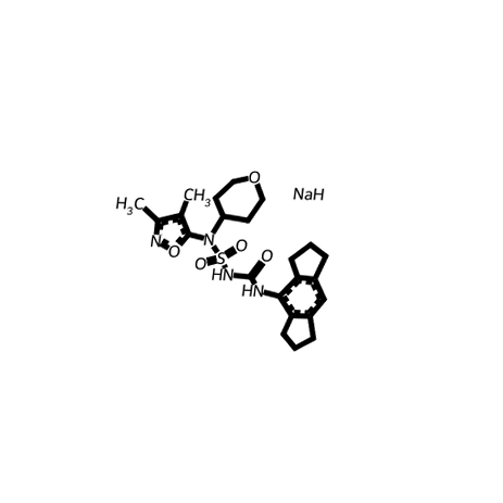 Cc1noc(N(C2CCOCC2)S(=O)(=O)NC(=O)Nc2c3c(cc4c2CCC4)CCC3)c1C.[NaH]